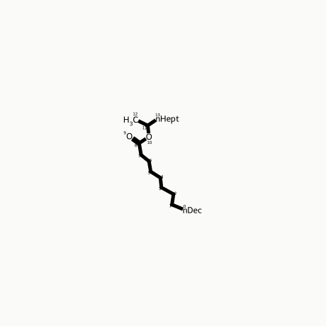 CCCCCCCCCCCCCCCCCC(=O)OC(C)CCCCCCC